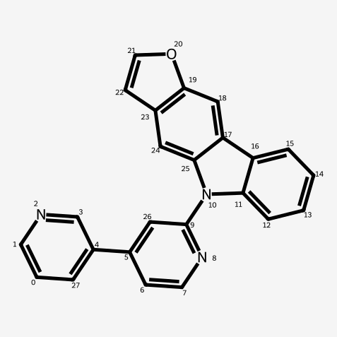 c1cncc(-c2ccnc(-n3c4ccccc4c4cc5occc5cc43)c2)c1